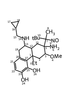 CCC12CC(OC)C(N)(C(C)(N=O)C(C)(C)C)CC1C(NCC1CC1)Cc1ccc(O)c(O)c12